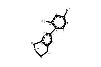 Fc1ccc(-c2cc3c(s2)CNCC3)c(F)c1